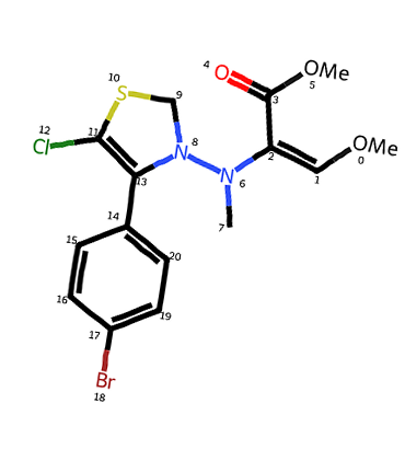 COC=C(C(=O)OC)N(C)N1CSC(Cl)=C1c1ccc(Br)cc1